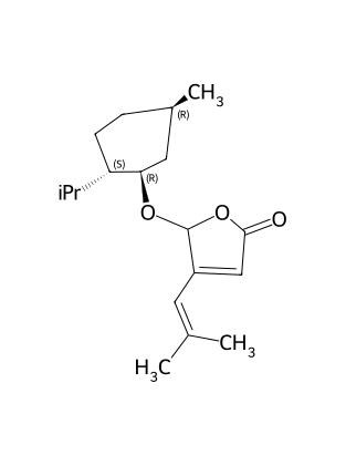 CC(C)=CC1=CC(=O)OC1O[C@@H]1C[C@H](C)CC[C@H]1C(C)C